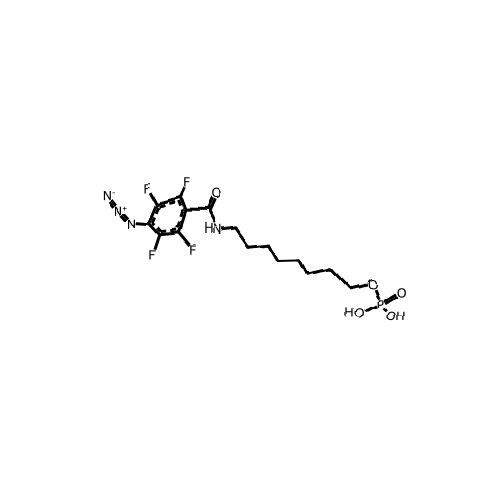 [N-]=[N+]=Nc1c(F)c(F)c(C(=O)NCCCCCCCCOP(=O)(O)O)c(F)c1F